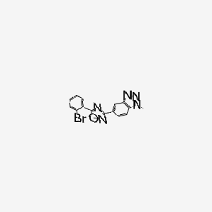 Cn1nnc2cc(-c3noc(-c4ccccc4Br)n3)ccc21